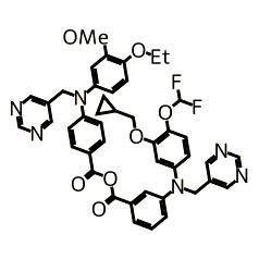 CCOc1ccc(N(Cc2cncnc2)c2ccc(C(=O)OC(=O)c3cccc(N(Cc4cncnc4)c4ccc(OC(F)F)c(OCC5CC5)c4)c3)cc2)cc1OC